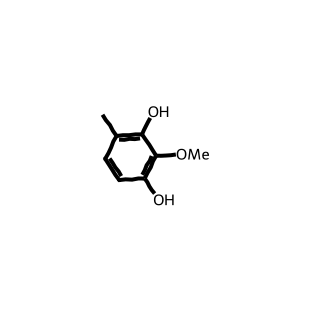 COc1c(O)ccc(C)c1O